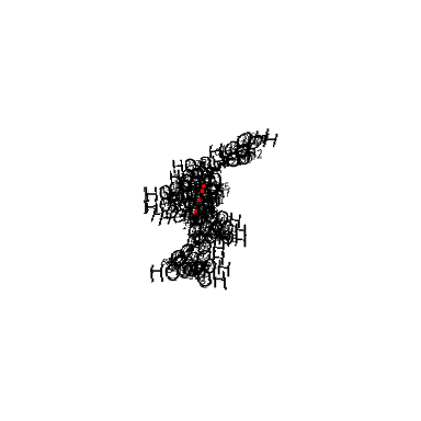 C=C[C@](C)(CC/C=C(\C)C(=O)O[C@H]1C[C@]2(C(=O)O[C@@H]3O[C@H](CO)[C@@H](O)[C@H](O)[C@H]3O[C@@H]3O[C@@H](C)[C@H](O[C@@H]4O[C@@H](CO)[C@H](O)[C@H]4O)[C@@H](O[C@@H]4O[C@H](CO)[C@@H](O)[C@H](O)[C@H]4O)[C@H]3O)[C@H](O)C[C@]3(C)C(=CC[C@@H]4[C@@]5(C)CC[C@H](O[C@@H]6O[C@H](CO[C@@H]7O[C@H](C)[C@H](O)[C@H](O)[C@H]7O[C@@H]7OC[C@@H](O)[C@H](O)[C@H]7O)[C@@H](O)[C@H](O)[C@H]6O[C@@H]6O[C@H](CO)[C@@H](O)[C@H](O)[C@H]6O)C(C)(C)[C@@H]5CC[C@]43C)[C@@H]2CC1(C)C)O[C@@H]1O[C@H](C)[C@@H](O)[C@H](O)[C@H]1O